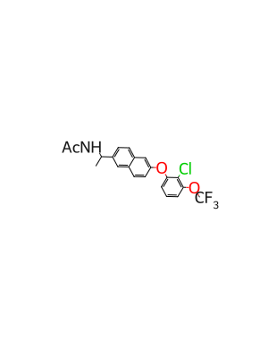 CC(=O)NC(C)c1ccc2cc(Oc3cccc(OC(F)(F)F)c3Cl)ccc2c1